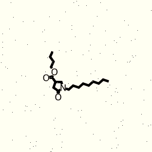 CCCCCCCCCN1CC(C(=O)OCCCC)CC1=O